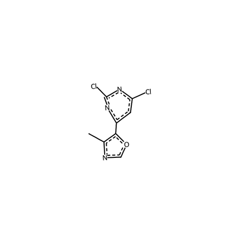 Cc1ncoc1-c1cc(Cl)nc(Cl)n1